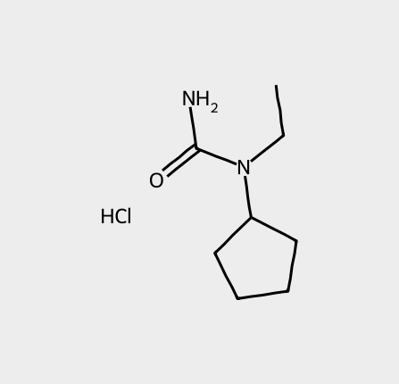 CCN(C(N)=O)C1CCCC1.Cl